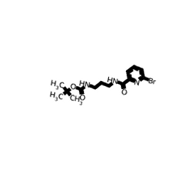 CC(C)(C)OC(=O)NCCCNC(=O)c1cccc(Br)n1